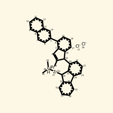 CC(C)C1=Cc2c(-c3ccc4ccccc4c3)cccc2C1c1cccc2c1[CH]([Zr+2][SiH](C)C)c1ccccc1-2.[Cl-].[Cl-]